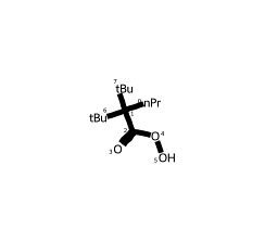 CCCC(C(=O)OO)(C(C)(C)C)C(C)(C)C